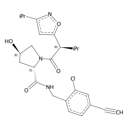 C#Cc1ccc(CNC(=O)[C@@H]2C[C@@H](O)CN2C(=O)[C@@H](c2cc(C(C)C)no2)C(C)C)c(Cl)c1